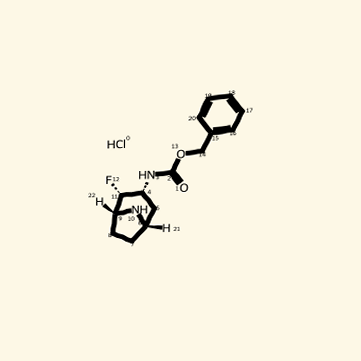 Cl.O=C(N[C@@H]1C[C@@H]2CC[C@@H](N2)[C@@H]1F)OCc1ccccc1